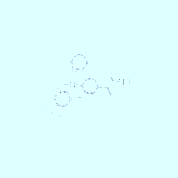 C=C(C(N)=O)c1ccc(Nc2ncc(C(F)(F)F)cc2F)c(-c2ccccn2)c1